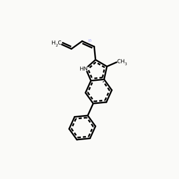 C=C/C=C\c1[nH]c2cc(-c3ccccc3)ccc2c1C